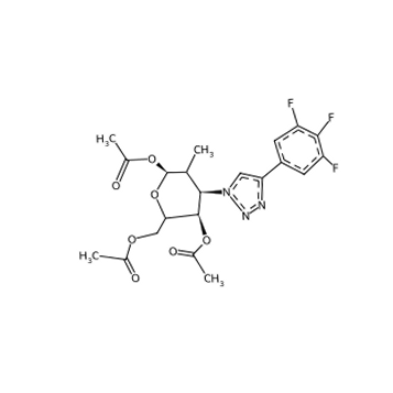 CC(=O)OCC1O[C@@H](OC(C)=O)C(C)[C@@H](n2cc(-c3cc(F)c(F)c(F)c3)nn2)[C@H]1OC(C)=O